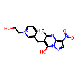 Cc1nc2c([N+](=O)[O-])cnn2c(O)c1Cc1ccc[n+](CCO)c1